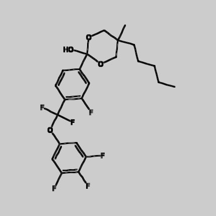 CCCCCC1(C)COC(O)(c2ccc(C(F)(F)Oc3cc(F)c(F)c(F)c3)c(F)c2)OC1